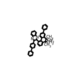 CC1(C)c2cc(-c3ccccc3)ccc2-c2c(-c3nc4ccccc4nc3-c3ccc(-c4ccccc4)cc3)cccc2C1(C)C